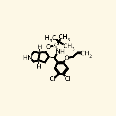 C=CCOc1cc(Cl)c(Cl)cc1C(N[S+]([O-])C(C)(C)C)[C@H]1C[C@H]2CNC[C@H]2C1